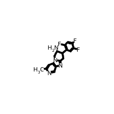 Cc1cc2c(cn1)nc1n2C[C@H](N)C(c2cc(F)c(F)cc2F)C1